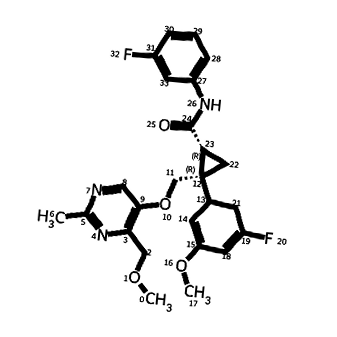 COCc1nc(C)ncc1OC[C@@]1(C2C=C(OC)C=C(F)C2)C[C@H]1C(=O)Nc1cccc(F)c1